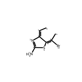 C/C=c1/nc(N)s/c1=C(/C)Br